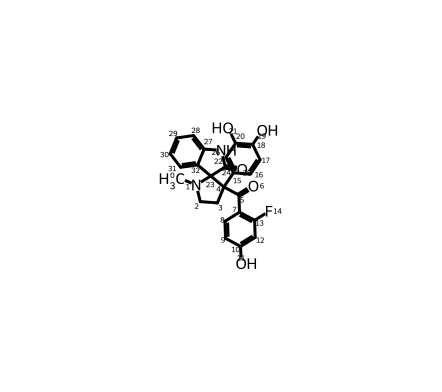 CN1CCC(C(=O)c2ccc(O)cc2F)(c2ccc(O)c(O)c2)C12C(=O)Nc1ccccc12